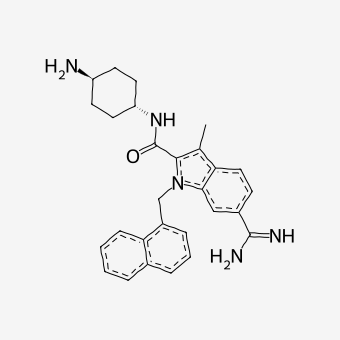 Cc1c(C(=O)N[C@H]2CC[C@H](N)CC2)n(Cc2cccc3ccccc23)c2cc(C(=N)N)ccc12